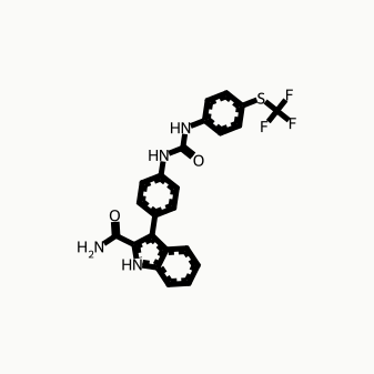 NC(=O)c1[nH]c2ccccc2c1-c1ccc(NC(=O)Nc2ccc(SC(F)(F)F)cc2)cc1